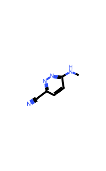 CNc1ccc(C#N)nn1